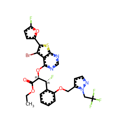 CCOC(=O)[C@@H](Oc1ncnc2sc(-c3ccc(F)o3)c(Br)c12)[C@H](F)c1ccccc1OCc1ccnn1CC(F)(F)F